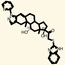 CC12Cc3cnn(-c4ccccn4)c3C=C1CCC1C2[C@@H](O)CC2(C)C1CC[C@]2(O)C(=O)CSc1nc2ccccc2[nH]1